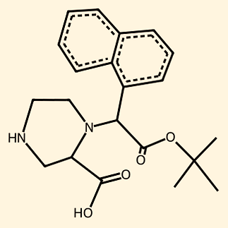 CC(C)(C)OC(=O)C(c1cccc2ccccc12)N1CCNCC1C(=O)O